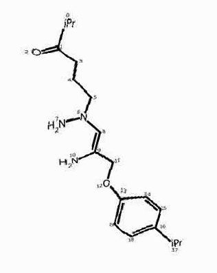 CC(C)C(=O)CCCN(N)/C=C(\N)COc1ccc(C(C)C)cc1